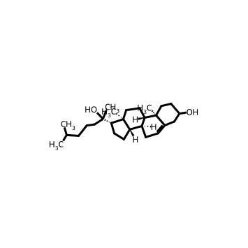 CC(C)CCCC(C)(O)[C@H]1CC[C@H]2[C@@H]3CC=C4CC(O)CC[C@]4(C)[C@H]3CC[C@]12C